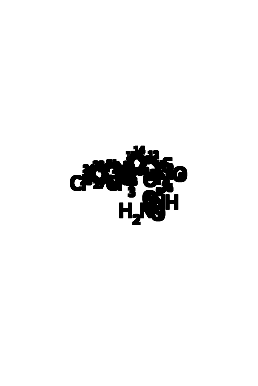 NS(=O)(=O)NCCN1C(=O)SC(=Cc2ccc3c(cnn3Cc3ccc(Cl)cc3C(F)(F)F)c2)C1=O